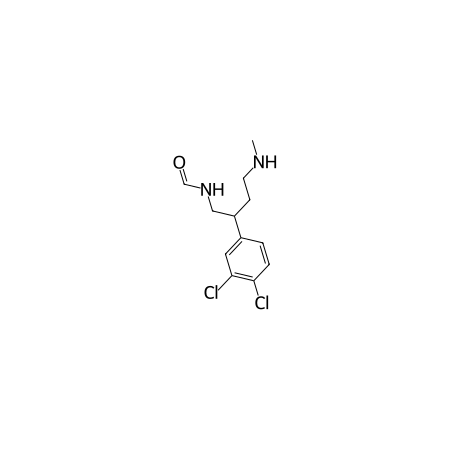 CNCCC(CNC=O)c1ccc(Cl)c(Cl)c1